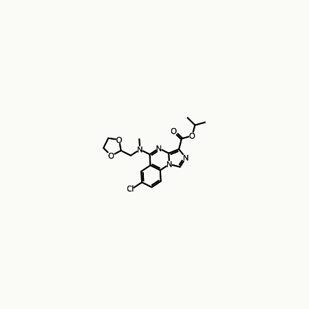 CC(C)OC(=O)c1ncn2c1nc(N(C)CC1OCCO1)c1cc(Cl)ccc12